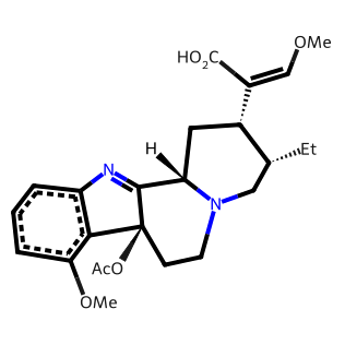 CC[C@@H]1CN2CC[C@@]3(OC(C)=O)C(=Nc4cccc(OC)c43)[C@@H]2C[C@@H]1C(=COC)C(=O)O